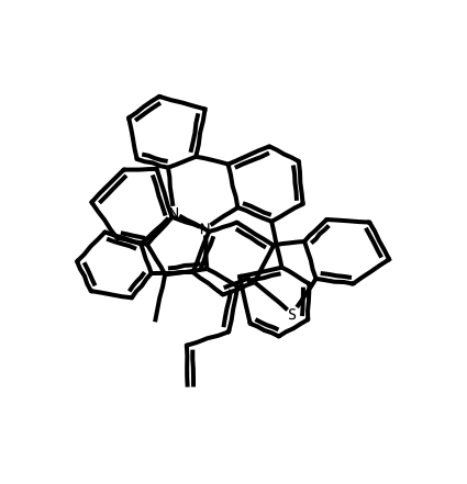 C=C/C=C\c1c(C)c2ccccc2n1-c1c(-c2ccccc2)cccc1-c1ccccc1-n1c2ccccc2c2cc3sc4ccccc4c3cc21